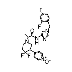 CC(C(=O)Nc1cn(Cc2ccc(F)cc2F)cn1)N1CCC(F)(F)C(c2cc[n+]([O-])cc2)C1